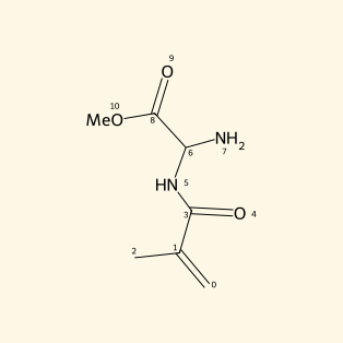 C=C(C)C(=O)NC(N)C(=O)OC